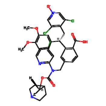 COc1ccc([C@H](Cc2c(Cl)c[n+]([O-])cc2Cl)c2cc(CN(C(=O)O[C@H]3CN4CCC3CC4)c3cc(F)ccn3)ccc2C(=O)O)cc1OC